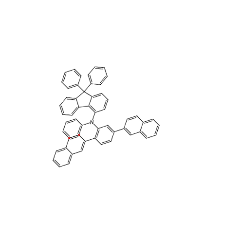 c1ccc(N(c2cc(-c3ccc4ccccc4c3)ccc2-c2ccc3ccccc3c2)c2cccc3c2-c2ccccc2C3(c2ccccc2)c2ccccc2)cc1